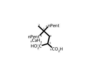 CCCCCC(C)(CCCCC)CC(C(=O)O)C(=O)O.[CaH2]